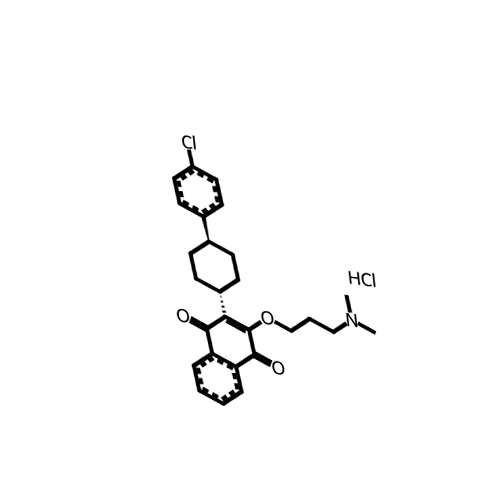 CN(C)CCCOC1=C([C@H]2CC[C@H](c3ccc(Cl)cc3)CC2)C(=O)c2ccccc2C1=O.Cl